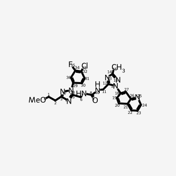 COCCc1nc(CNC(=O)NCc2nc(C)nn2-c2ccc3cccnc3c2)n(-c2ccc(Cl)c(F)c2)n1